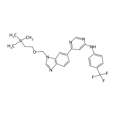 C[Si](C)(C)CCOCn1cnc2ccc(-c3cc(Nc4ccc(C(F)(F)F)cc4)ncn3)cc21